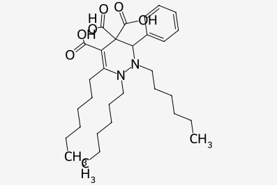 CCCCCCC1=C(C(=O)O)C(C(=O)O)(C(=O)O)C(c2ccccc2)N(CCCCCC)N1CCCCCC